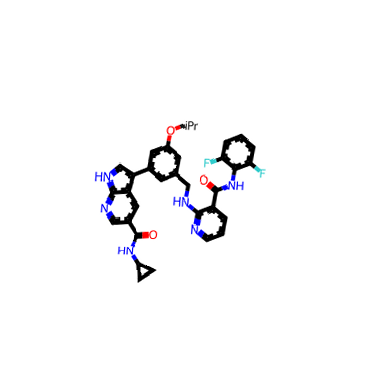 CC(C)Oc1cc(CNc2ncccc2C(=O)Nc2c(F)cccc2F)cc(-c2c[nH]c3ncc(C(=O)NC4CC4)cc23)c1